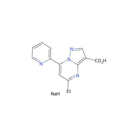 CCc1cc(-c2ccccn2)n2ncc(C(=O)O)c2n1.[NaH]